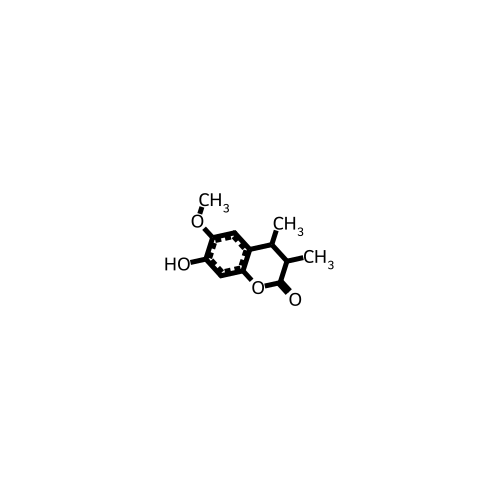 COc1cc2c(cc1O)OC(=O)C(C)C2C